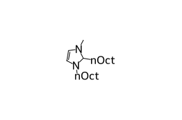 CCCCCCCCC1N(C)C=CN1CCCCCCCC